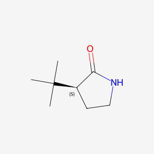 CC(C)(C)[C@@H]1CCNC1=O